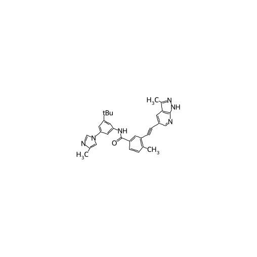 Cc1cn(-c2cc(NC(=O)c3ccc(C)c(C#Cc4cnc5[nH]nc(C)c5c4)c3)cc(C(C)(C)C)c2)cn1